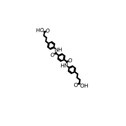 O=C(O)CCCc1ccc(NC(=O)c2ccc(C(=O)Nc3ccc(CCCC(=O)O)cc3)cc2)cc1